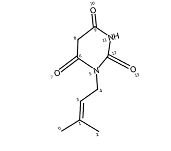 CC(C)=CCN1C(=O)CC(=O)NC1=O